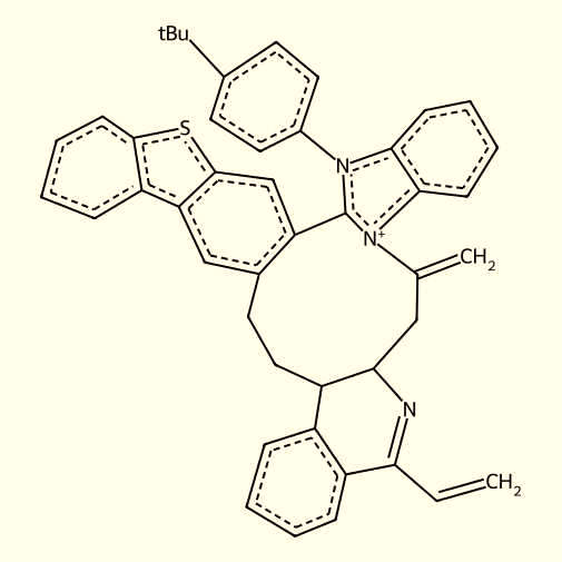 C=CC1=NC2CC(=C)[n+]3c(n(-c4ccc(C(C)(C)C)cc4)c4ccccc43)-c3cc4sc5ccccc5c4cc3CCC2c2ccccc21